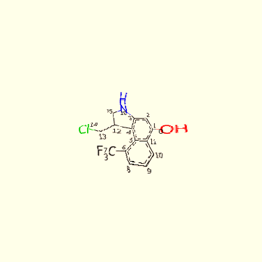 Oc1cc2c(c3c(C(F)(F)F)cccc13)C(CCl)CN2